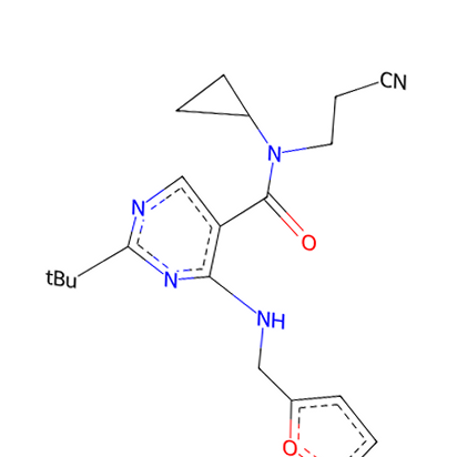 CC(C)(C)c1ncc(C(=O)N(CCC#N)C2CC2)c(NCc2ccco2)n1